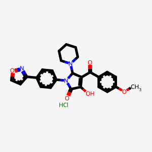 COc1ccc(C(=O)C2=C(O)C(=O)N(c3ccc(-c4ccon4)cc3)C2N2CCCCC2)cc1.Cl